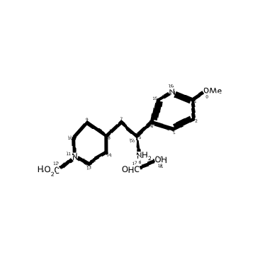 COc1ccc([C@@H](N)CC2CCN(C(=O)O)CC2)cn1.O=CO